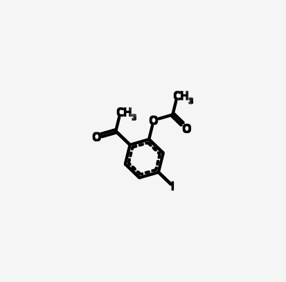 CC(=O)Oc1cc(I)ccc1C(C)=O